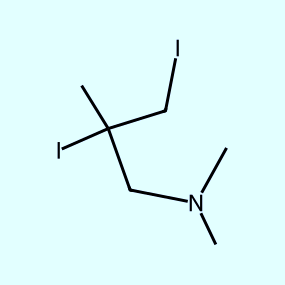 CN(C)CC(C)(I)CI